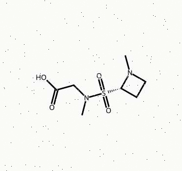 CN1CC[C@@H]1S(=O)(=O)N(C)CC(=O)O